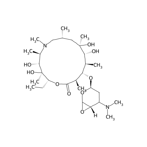 CC[C@H]1OC(=O)[C@H](C)[C@@H](O[C@H]2CC(N(C)C)[C@@H]3OC3O2)[C@H](C)[C@@H](O)[C@](C)(O)C[C@@H](C)CN(C)[C@H](C)[C@@H](O)[C@]1(C)O